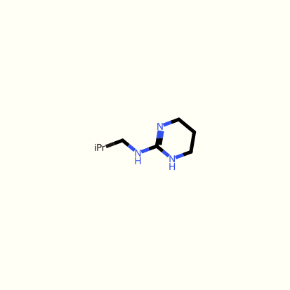 CC(C)CNC1=NCCCN1